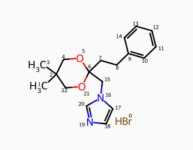 Br.CC1(C)COC(CCc2ccccc2)(Cn2ccnc2)OC1